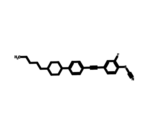 CCCCCC1CCC(c2ccc(C#Cc3ccc(SC#N)c(F)c3)cc2)CC1